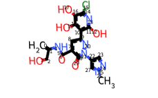 C=C(CO)NC(=O)c1cc(-c2c(O)nc(Cl)c(O)c2O)nn(-c2cnn(C)c2)c1=O